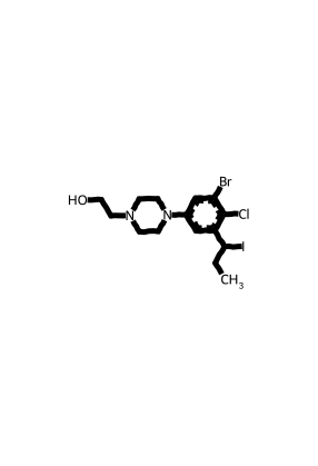 CCC(I)c1cc(N2CCN(CCO)CC2)cc(Br)c1Cl